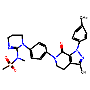 COc1ccc(-n2nc(C#N)c3c2C(=O)N(c2ccc(N4CCCN=C4N(C)S(C)(=O)=O)cc2)CC3)cc1